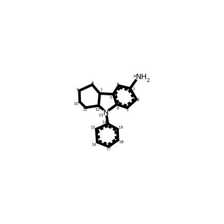 Nc1ccc2c(c1)C1CCCCC1N2c1ccccc1